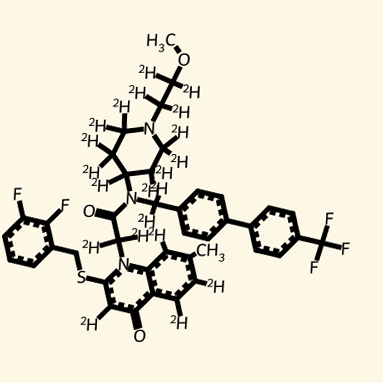 [2H]c1c(C)c([2H])c2c(c1[2H])c(=O)c([2H])c(SCc1cccc(F)c1F)n2C([2H])([2H])C(=O)N(C([2H])([2H])c1ccc(-c2ccc(C(F)(F)F)cc2)cc1)C1([2H])C([2H])([2H])C([2H])([2H])N(C([2H])([2H])C([2H])([2H])OC)C([2H])([2H])C1([2H])[2H]